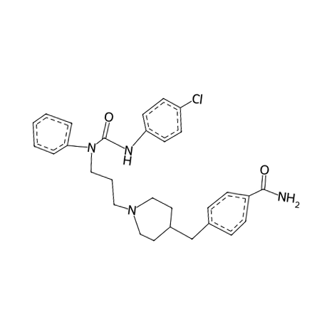 NC(=O)c1ccc(CC2CCN(CCCN(C(=O)Nc3ccc(Cl)cc3)c3ccccc3)CC2)cc1